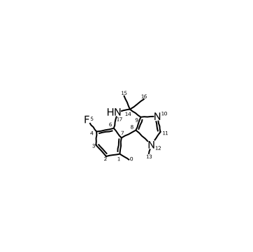 Cc1ccc(F)c2c1-c1c(ncn1C)C(C)(C)N2